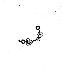 C=Cc1ccc(C(=O)OC(C)OCCCCOC(C)OC(=O)/C=C/c2ccccc2)cc1